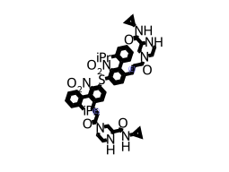 CC(C)c1ccccc1-c1c(/C=C/C(=O)N2CCNC(C(=O)NC3CC3)C2)ccc(Sc2ccc(/C=C/C(=O)N3CCNC(C(=O)NC4CC4)C3)c(-c3ccccc3C(C)C)c2[N+](=O)[O-])c1[N+](=O)[O-]